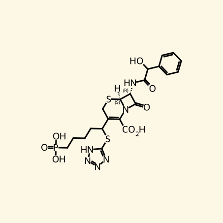 O=C(O)C1=C(C(CCCCP(=O)(O)O)Sc2nnn[nH]2)CS[C@H]2[C@H](NC(=O)C(O)c3ccccc3)C(=O)N12